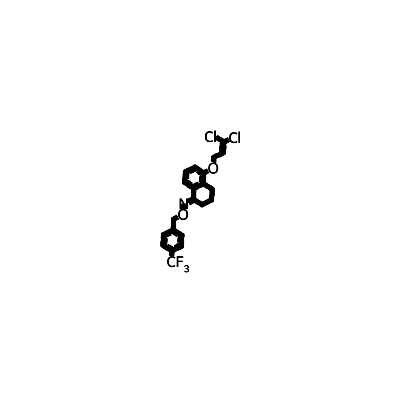 FC(F)(F)c1ccc(CON=C2CCCc3c(OCC=C(Cl)Cl)cccc32)cc1